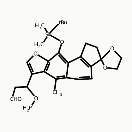 Cc1c2ccc3c(c2c(O[Si](C)(C)C(C)(C)C)c2occ(C(CC=O)OP)c12)CCC31OCCO1